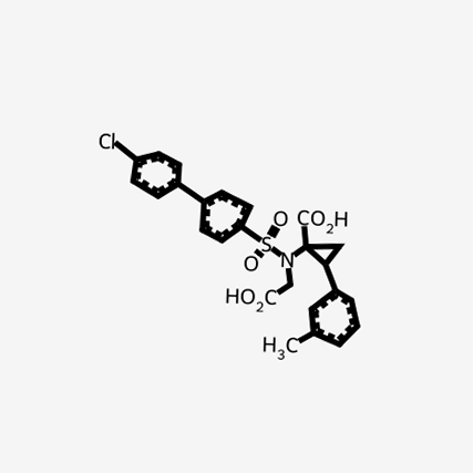 Cc1cccc(C2CC2(C(=O)O)N(CC(=O)O)S(=O)(=O)c2ccc(-c3ccc(Cl)cc3)cc2)c1